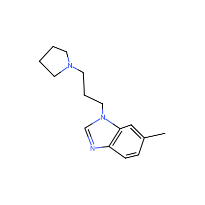 Cc1ccc2ncn(CCCN3CCCC3)c2c1